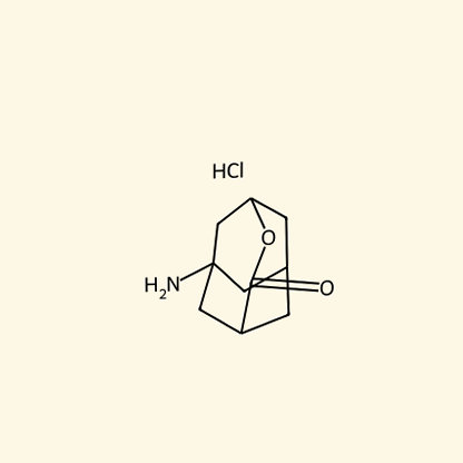 Cl.NC12CC3CC(C1)OC(=O)C(C3)C2